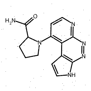 NC(=O)C1[CH]CCN1c1ccnc2nnc3[nH]ccc3c12